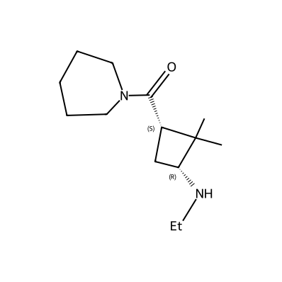 CCN[C@@H]1C[C@H](C(=O)N2CCCCC2)C1(C)C